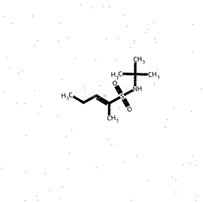 CC/C=C(\C)S(=O)(=O)NC(C)(C)C